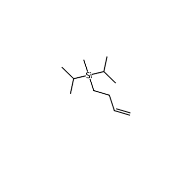 C=CCC[Si](C)(C(C)C)C(C)C